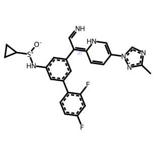 Cc1ncn(C2=CN/C(=C(\C=N)c3cc(N[S+]([O-])C4CC4)cc(-c4ccc(F)cc4F)c3)C=C2)n1